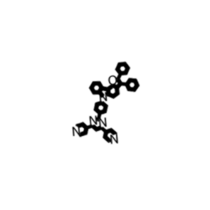 c1ccc(-c2oc3c(ccc4c3c3ccccc3n4-c3ccc(-c4nc(-c5ccncc5)cc(-c5ccncc5)n4)cc3)c2-c2ccccc2)cc1